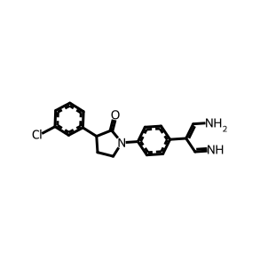 N=C/C(=C\N)c1ccc(N2CCC(c3cccc(Cl)c3)C2=O)cc1